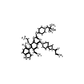 C=CC(=O)N1CC2(CCN(c3nc(OC4CCN(CC(C)(C)O)CC4)nc4c(OCC(F)(F)F)c(-c5c(C)ccc6[nH]ncc56)c(C=C)cc34)CC2)C1